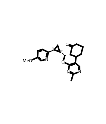 COc1ccc([C@H]2C[C@@H]2COc2nc(C)ncc2C2CCCC(=O)C2)nc1